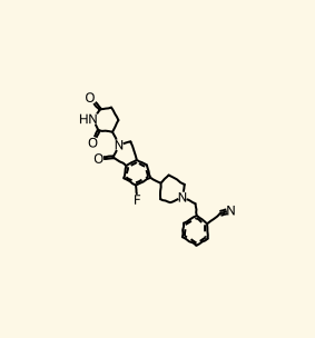 N#Cc1ccccc1CN1CCC(c2cc3c(cc2F)C(=O)N(C2CCC(=O)NC2=O)C3)CC1